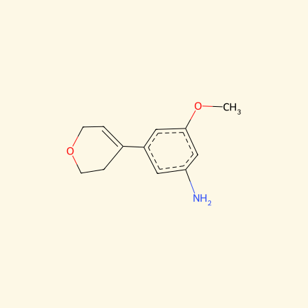 COc1cc(N)cc(C2=CCOCC2)c1